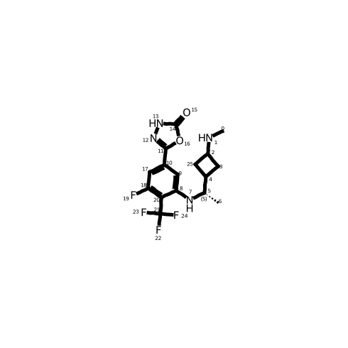 CNC1CC([C@H](C)Nc2cc(-c3n[nH]c(=O)o3)cc(F)c2C(F)(F)F)C1